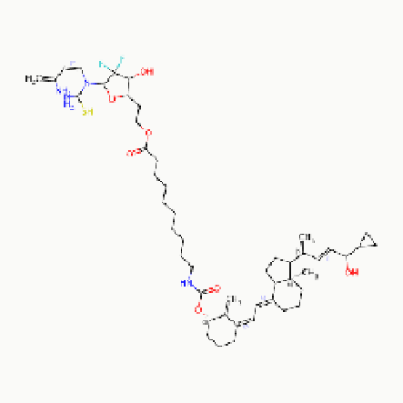 C=C(N)/C=C\N(C(N)S)C1OC(CCOC(=O)CCCCCCCCCNC(=O)O[C@H]2CCC/C(=C/C=C3\CCC[C@@]4(C)C3CCC4[C@@H](C)/C=C/C(O)C3CC3)C2=C)C(O)C1(F)F